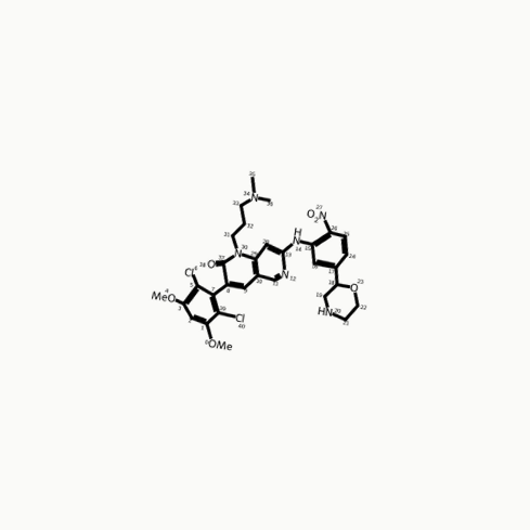 COc1cc(OC)c(Cl)c(-c2cc3cnc(Nc4cc(C5CNCCO5)ccc4[N+](=O)[O-])cc3n(CCCN(C)C)c2=O)c1Cl